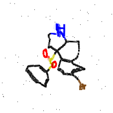 O=S(=O)(c1ccccc1)C12CCNC1CCc1cc(Br)ccc12